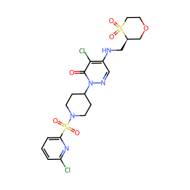 O=c1c(Cl)c(NC[C@@H]2COCCS2(=O)=O)cnn1C1CCN(S(=O)(=O)c2cccc(Cl)n2)CC1